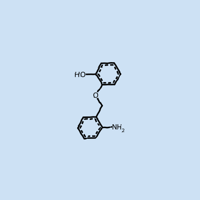 Nc1ccccc1COc1ccccc1O